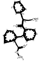 COC(=O)c1ccccc1-c1ccccc1C(=O)C(O)c1ccccc1